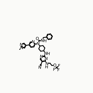 Cn1cc(-c2ccc(N(C(=O)NCc3ccccc3)C3CCC(Nc4ncc(C#N)c(NCCOC(F)(F)F)n4)CC3)nc2)cn1